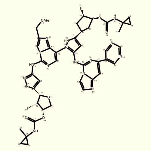 COCc1cn2c(Nc3cc([C@@H]4OC[C@H](OC(=O)NC5(C)CC5)[C@@H]4F)[nH]n3)ncc(-[n+]3[nH]c([C@H]4C[C@@H](F)[C@@H](OC(=O)NC5(C)CC5)C4)cc3Nc3nc(-c4cncnc4)cc4nccn34)c2n1